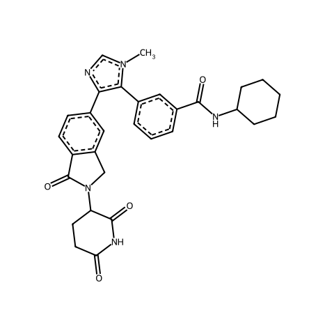 Cn1cnc(-c2ccc3c(c2)CN(C2CCC(=O)NC2=O)C3=O)c1-c1cccc(C(=O)NC2CCCCC2)c1